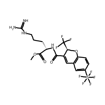 COC(=O)[C@H](CCCNC(=N)N)NC(=O)C1=Cc2cc(S(F)(F)(F)(F)F)ccc2O[C@@H]1C(F)(F)F